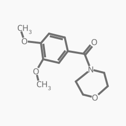 COc1ccc(C(=O)N2CCOCC2)cc1OC